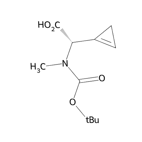 CN(C(=O)OC(C)(C)C)[C@H](C(=O)O)C1=CC1